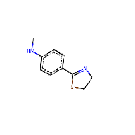 CNc1ccc(C2=NCCS2)cc1